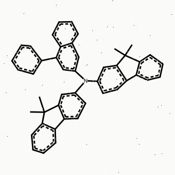 CC1(C)c2ccccc2-c2ccc(N(c3ccc4c(c3)C(C)(C)c3ccccc3-4)c3cc(-c4ccccc4)c4ccccc4c3)cc21